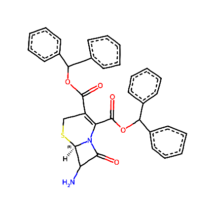 NC1C(=O)N2C(C(=O)OC(c3ccccc3)c3ccccc3)=C(C(=O)OC(c3ccccc3)c3ccccc3)CS[C@H]12